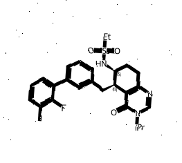 CCS(=O)(=O)N[C@H]1CCc2ncn(C(C)C)c(=O)c2[C@H]1Cc1cccc(-c2cccc(C)c2F)c1